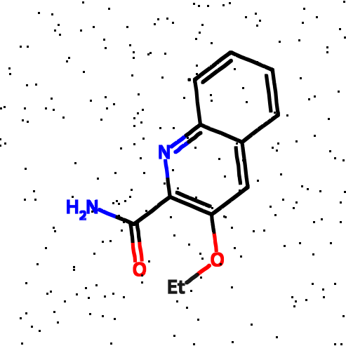 CCOc1cc2ccc[c]c2nc1C(N)=O